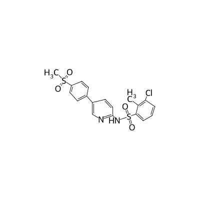 Cc1c(Cl)cccc1S(=O)(=O)Nc1ccc(-c2ccc(S(C)(=O)=O)cc2)cn1